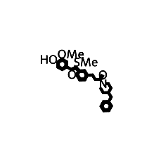 COc1cc(-c2oc3ccc(CCC(=O)N4CCC(Cc5ccccc5)CC4)cc3c2SC)ccc1O